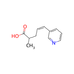 CC(C/C=C\c1cccnc1)C(=O)O